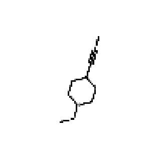 CC#CC1CCN(CC)CC1